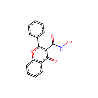 O=C(NO)c1c(-c2ccccc2)oc2ccccc2c1=O